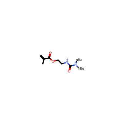 C=C(C)C(=O)OCCNC(=O)N(CCCC)CCCC